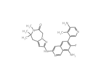 Cc1c(N)cncc1-c1cc2cc(Nc3cc4n(n3)CC(=O)N(C)C(C)(C)C4)ncc2c(N)c1F